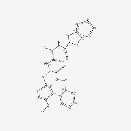 COc1ccc(CC(NC(=O)C(C)NC(=O)C2Cc3ccccc3C2)C(=O)OCc2ccccc2)cc1